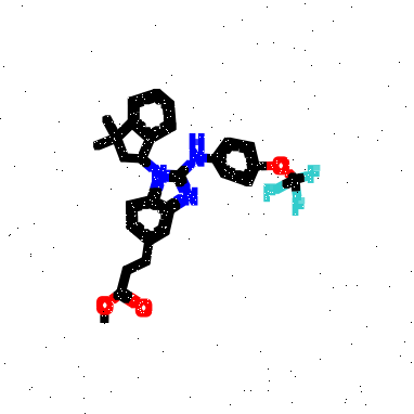 COC(=O)CCc1ccc2c(c1)nc(Nc1ccc(OC(F)(F)F)cc1)n2C1CC(C)(C)c2ccccc21